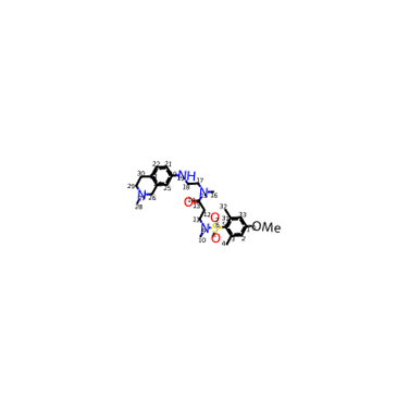 COc1cc(C)c(S(=O)(=O)N(C)CCC(=O)N(C)CCNc2ccc3c(c2)CN(C)CC3)c(C)c1